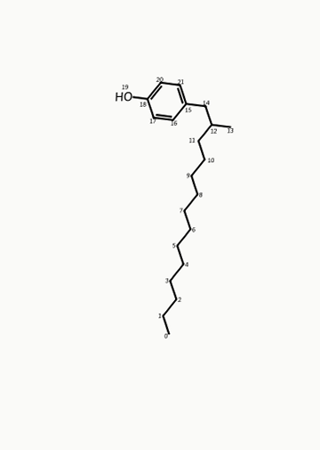 CCCCCCCCCCCCC(C)Cc1ccc(O)cc1